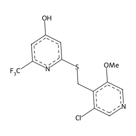 COc1cncc(Cl)c1CSc1cc(O)cc(C(F)(F)F)n1